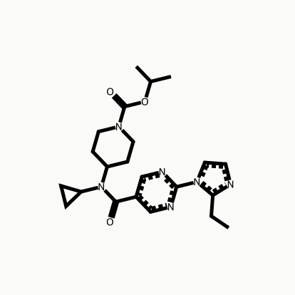 CCc1nccn1-c1ncc(C(=O)N(C2CC2)C2CCN(C(=O)OC(C)C)CC2)cn1